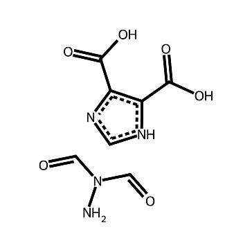 NN(C=O)C=O.O=C(O)c1nc[nH]c1C(=O)O